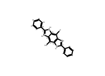 Ic1c2nc(-c3ccccc3)sc2c(I)c2nc(-c3ccccc3)sc12